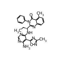 CC[C@H](Nc1ncnc(N)c1-c1nc(C)no1)c1nc2cccc(C)c2c(=O)n1-c1ccccc1